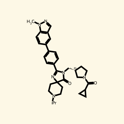 CC(C)N1CCC2(CC1)N=C(c1ccc(-c3ccc4c(cnn4C)c3)cc1)N(C[C@@H]1CCN(C(=O)C3CC3)C1)C2=O